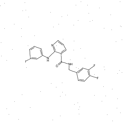 O=C(NCc1ccc(F)c(F)c1)c1cccnc1Nc1cccc(I)c1